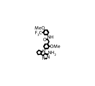 COc1cc(-n2c3c(c4ncnc(N)c42)CCC3)ccc1CC(=O)Nc1ccc(OC)c(C(F)(F)F)c1